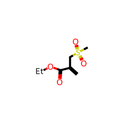 C=C(CS(C)(=O)=O)C(=O)OCC